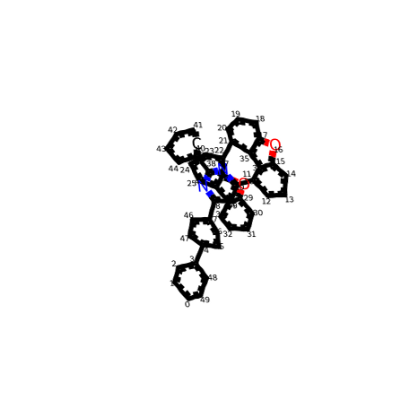 c1ccc(-c2ccc(-c3cc(-c4cccc5oc6cccc(-c7cccc8c7oc7ccccc78)c6c45)nc(-c4ccccc4)n3)cc2)cc1